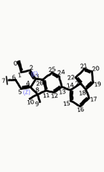 C=C/C=C1\C(=C/CI)C(C)(C)c2cc(-c3cccc4ccccc34)ccc21